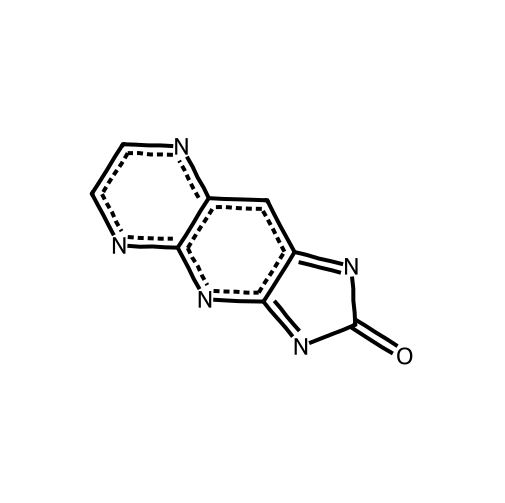 O=C1N=c2cc3nccnc3nc2=N1